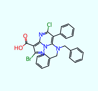 O=C(O)c1c(Br)nn2c(N(Cc3ccccc3)Cc3ccccc3)c(-c3ccccc3)c(Cl)nc12